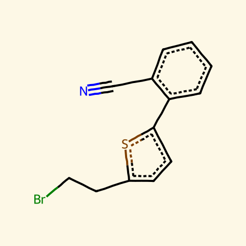 N#Cc1ccccc1-c1ccc(CCBr)s1